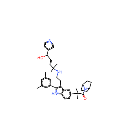 Cc1cc(C)cc(-c2[nH]c3ccc(C(C)(C)C(=O)N4C5CCC4CC5)cc3c2CCNC(C)(C)C=CC(O)c2ccncc2)c1